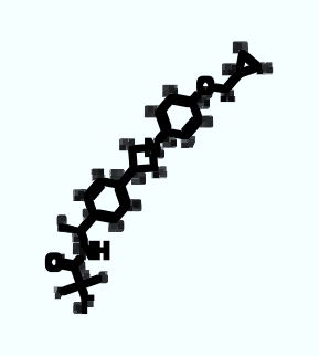 C[C@H](NC(=O)C(C)(C)F)c1ccc(C2CN(c3ccc(OCC4CC4)cc3)C2)cc1